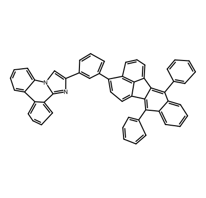 c1ccc(-c2c3c(c(-c4ccccc4)c4ccccc24)-c2ccc(-c4cccc(-c5cn6c7ccccc7c7ccccc7c6n5)c4)c4cccc-3c24)cc1